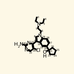 CCN(CC)CCn1cc(-c2nc(N)ncc2Cl)c2cc(C3(O)CCCC3)ccc21